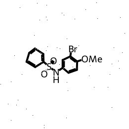 COc1ccc(NS(=O)(=O)c2ccccc2)cc1Br